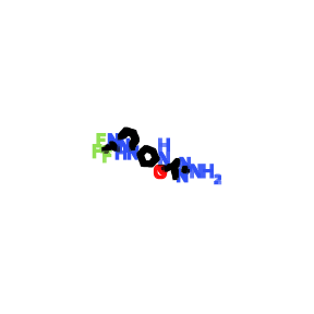 Nc1ncc(C(=O)N[C@H]2CC[C@@H](Nc3cccc4nc(C(F)(F)F)cn34)CC2)cn1